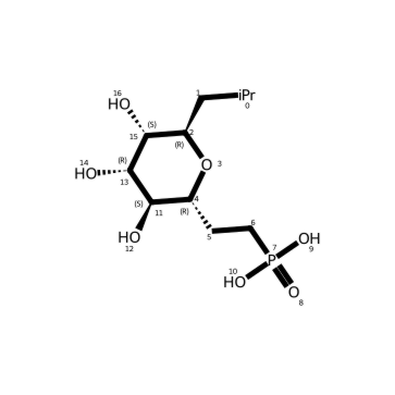 CC(C)C[C@H]1O[C@H](CCP(=O)(O)O)[C@@H](O)[C@H](O)[C@@H]1O